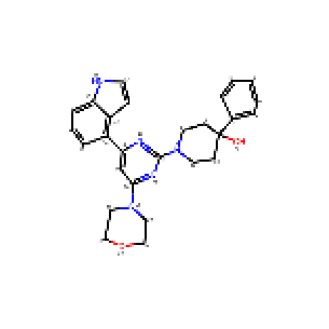 OC1(c2ccccc2)CCN(c2nc(-c3cccc4[nH]ccc34)cc(N3CCOCC3)n2)CC1